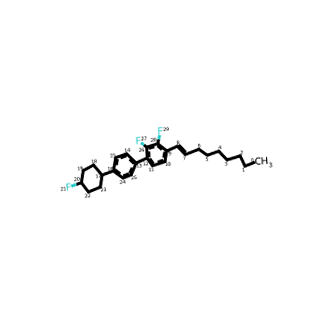 CCCCCCCC=Cc1ccc(-c2ccc(C3CCC(F)CC3)cc2)c(F)c1F